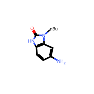 CCCCn1c(=O)[nH]c2ccc(N)cc21